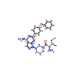 CC[C@@H](C)[C@@H](N)C(=O)N1CCC[C@@H](n2ncc3c(N)nc(-c4ccc(Oc5ccccc5)cc4)nc32)C1